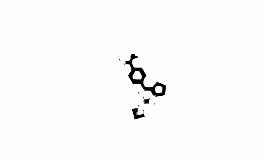 NC(c1ccc(-c2nc(N3CCC3)nc3c2CCC3)cc1)C(F)(F)F